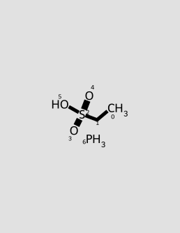 CCS(=O)(=O)O.P